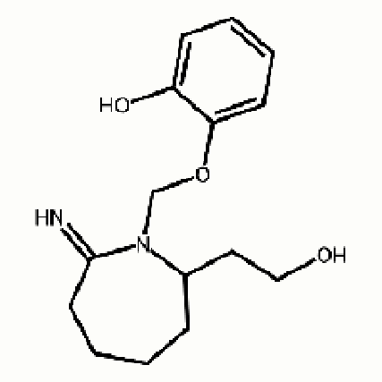 N=C1CCCCC(CCO)N1COc1ccccc1O